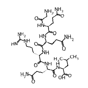 CC(C)C[C@H](NC(=O)[C@H](CCC(N)=O)NC(=O)[C@H](CCCNC(=N)N)NC(=O)[C@H](CCC(N)=O)NC(=O)[C@H](CCC(N)=O)NC(=O)CN)C(=O)O